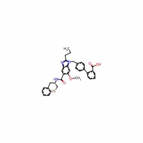 CCCc1nc2cc(C(=O)N[C@@H](CS)Cc3ccccc3)c(OC)cc2n1Cc1ccc(-c2ccccc2C(=O)O)cc1